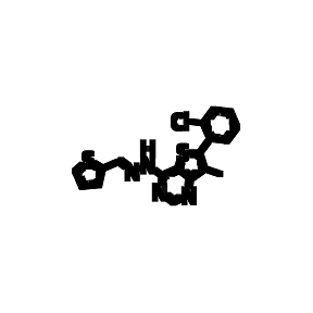 Cc1c(-c2ccccc2Cl)sc2c(NN=Cc3cccs3)ncnc12